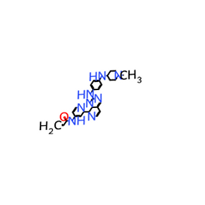 C=CC(=O)Nc1ccnc(-c2nccc3cnc(Nc4ccc(NC5CCN(C)CC5)cc4)nc23)c1